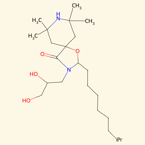 CC(C)CCCCCCC1OC2(CC(C)(C)NC(C)(C)C2)C(=O)N1CC(O)CO